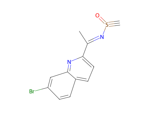 C#S(=O)/N=C(\C)c1ccc2ccc(Br)cc2n1